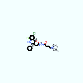 CN(C)CCCC(=O)NC[C@H]1CC[C@@H]2[C@H](O1)c1cc(Cl)cc(F)c1N[C@H]2c1ccccc1